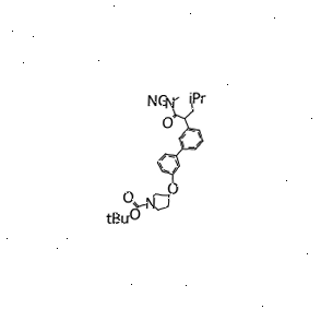 CC(C)CC(C(=O)N(C)C#N)c1cccc(-c2cccc(OC3CCN(C(=O)OC(C)(C)C)C3)c2)c1